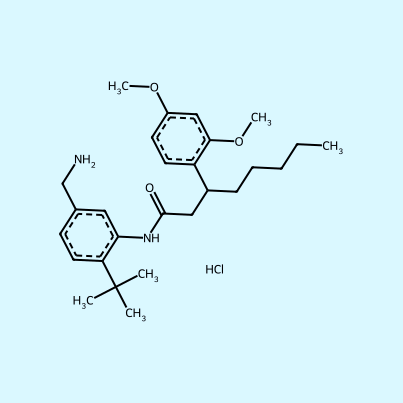 CCCCCC(CC(=O)Nc1cc(CN)ccc1C(C)(C)C)c1ccc(OC)cc1OC.Cl